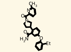 CCc1ccccc1Oc1ccc(C2CCN(C(=O)c3cccc(C)n3)C2)c(C(N)=O)c1